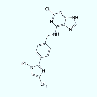 CC(C)n1cc(C(F)(F)F)nc1-c1ccc(CNc2nc(Cl)nc3[nH]cnc23)cc1